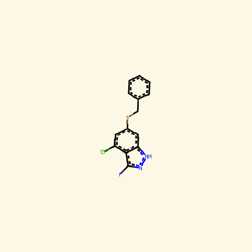 Clc1cc(SCc2ccccc2)cc2[nH]nc(I)c12